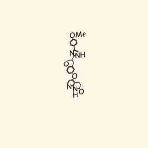 COc1ccc(-c2c[nH]c(C3COc4ccc(Oc5ccnc6c5CCC(=O)N6)cc4C3)n2)cc1